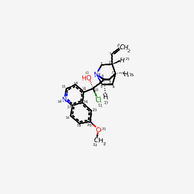 C=C[C@H]1CN2CC[C@H]1C[C@H]2[C@@](O)(Cl)c1ccnc2ccc(OC)cc12